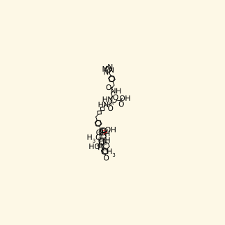 C[C@]12C=CC(=O)C=C1CC[C@@H]1[C@@H]2[C@@H](O)C[C@@]2(C)[C@H]1C[C@H]1O[C@@H](c3ccc(CC4CC5(C4)CC(NC(=O)[C@H](CCC(=O)O)NC(=O)CNC(=O)Cc4ccc(-c6nncnn6)cc4)C5)cc3)O[C@]12C(=O)CO